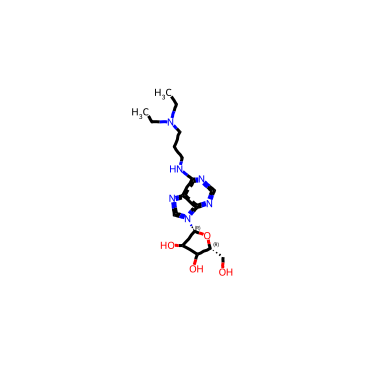 CCN(CC)CCCNc1ncnc2c1ncn2[C@@H]1O[C@H](CO)C(O)C1O